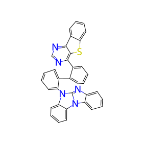 c1ccc(-c2ncnc3c2sc2ccccc23)c(-c2ccccc2-n2c3ccccc3n3c4ccccc4nc23)c1